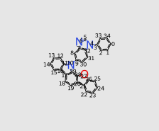 c1ccc(-n2cnc3cc(-n4c5ccccc5c5ccc6c7ccccc7oc6c54)ccc32)cc1